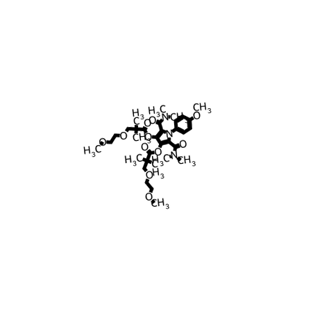 COCCOCC(C)(C)C(=O)Oc1c(OC(=O)C(C)(C)COCCOC)c(C(=O)N(C)C)n(-c2ccc(OC)cc2)c1C(=O)N(C)C